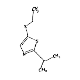 CCSc1cnc(C(C)C)s1